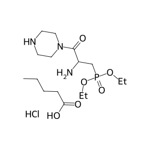 CCCCC(=O)O.CCOP(=O)(CC(N)C(=O)N1CCNCC1)OCC.Cl